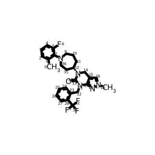 Cc1cccc(F)c1N1CCC[C@@H](N2Cc3cn(C)nc3N(Cc3ccccc3C(F)(F)F)C2=O)CC1